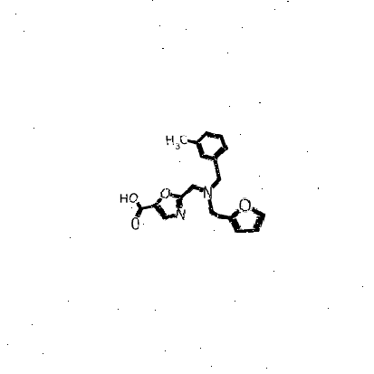 Cc1cccc(CN(Cc2ccco2)Cc2ncc(C(=O)O)o2)c1